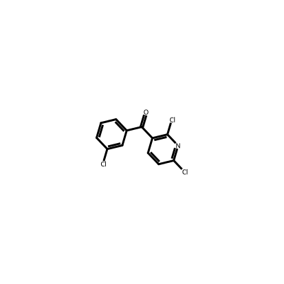 O=C(c1cccc(Cl)c1)c1ccc(Cl)nc1Cl